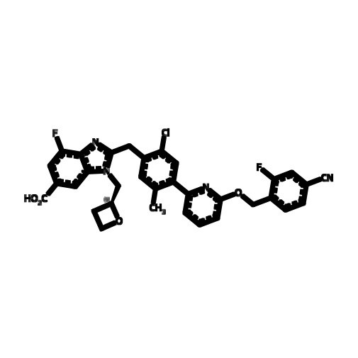 Cc1cc(Cc2nc3c(F)cc(C(=O)O)cc3n2C[C@@H]2CCO2)c(Cl)cc1-c1cccc(OCc2ccc(C#N)cc2F)n1